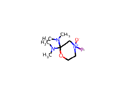 CN(C)C1(N(C)C)C[N+]([O-])([P])CCO1